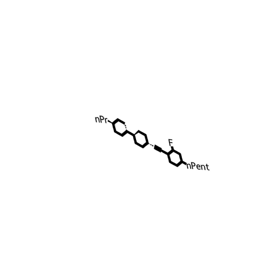 CCCCCC1CCC(C#C[C@H]2CC[C@H]([C@H]3CC[C@H](CCC)CC3)CC2)C(F)C1